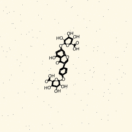 O=C(O)[C@H]1O[C@@H](Oc2ccc(-c3coc4cc(O[C@@H]5O[C@H](C(=O)O)[C@@H](O)[C@H](O)[C@H]5O)cc(O)c4c3=O)cc2)[C@H](O)[C@@H](O)[C@@H]1O